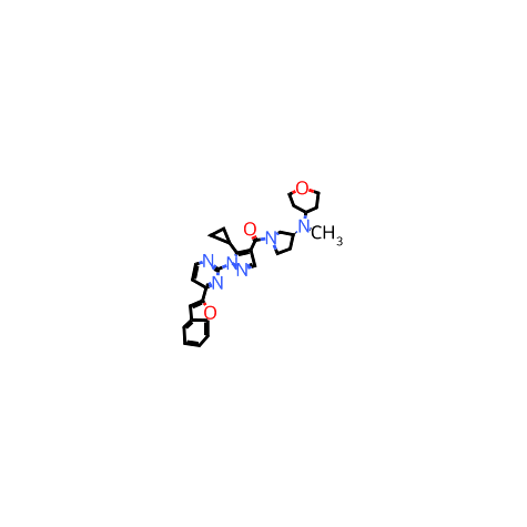 CN(C1CCOCC1)[C@@H]1CCN(C(=O)c2cnn(-c3nccc(-c4cc5ccccc5o4)n3)c2C2CC2)C1